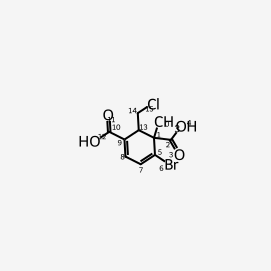 CC1(C(=O)O)C(Br)=CC=C(C(=O)O)C1CCl